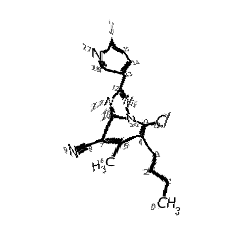 CCCCc1c(C)c(C#N)c2nc(-c3cccnc3)nn2c1Cl